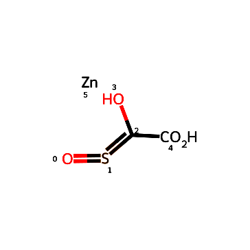 O=S=C(O)C(=O)O.[Zn]